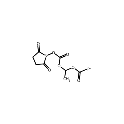 CC(OC(=O)ON1C(=O)CCC1=O)OC(=O)C(C)C